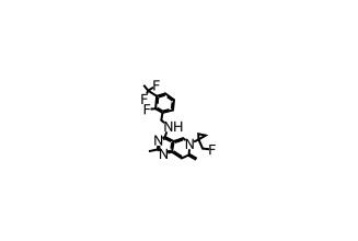 C=C1C=c2nc(C)nc(NCc3cccc(C(C)(F)F)c3F)c2=CN1C1(CF)CC1